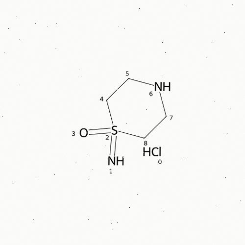 Cl.N=S1(=O)CCNCC1